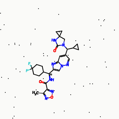 Cc1nonc1C(=O)N[C@H](c1cn2ncc(C(C3CC3)N3CC4(CC4)NC3=O)cc2n1)C1CCC(F)(F)CC1